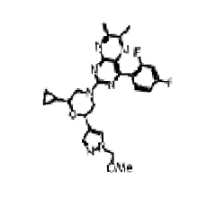 COCn1cc([C@@H]2CN(c3nc(-c4ccc(F)cc4F)c4nc(C)c(C)nc4n3)C[C@H](C3CC3)O2)cn1